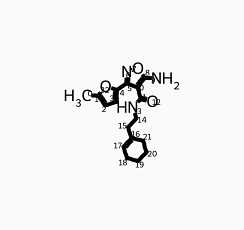 Cc1ccc(-c2noc(N)c2C(=O)NCCC2=CCCCC2)o1